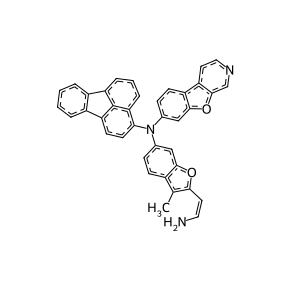 Cc1c(/C=C\N)oc2cc(N(c3ccc4c(c3)oc3cnccc34)c3ccc4c5c(cccc35)-c3ccccc3-4)ccc12